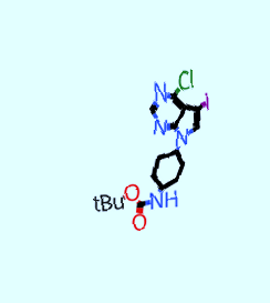 CC(C)(C)OC(=O)NC1CCC(n2cc(I)c3c(Cl)ncnc32)CC1